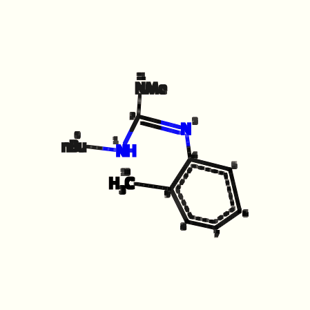 CCCCN/C(=N\c1ccccc1C)NC